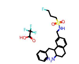 NC1CCc2ccc(CNS(=O)(=O)CCCF)cc2C1Cc1ccccc1.O=C(O)C(F)(F)F